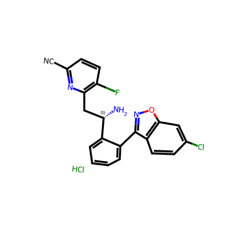 Cl.N#Cc1ccc(F)c(C[C@H](N)c2ccccc2-c2noc3cc(Cl)ccc23)n1